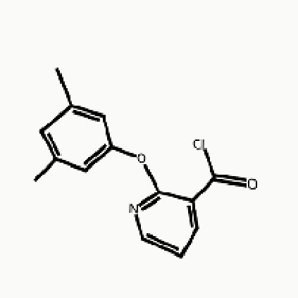 Cc1cc(C)cc(Oc2ncccc2C(=O)Cl)c1